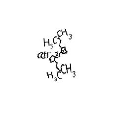 CC(C)CCC1=[C]([Zr+2][C]2=C(CCC(C)C)C=CC2)CC=C1.[Cl-].[Cl-]